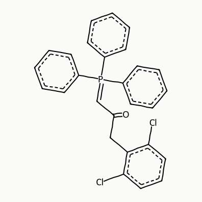 O=C(C=P(c1ccccc1)(c1ccccc1)c1ccccc1)Cc1c(Cl)cccc1Cl